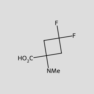 CNC1(C(=O)O)CC(F)(F)C1